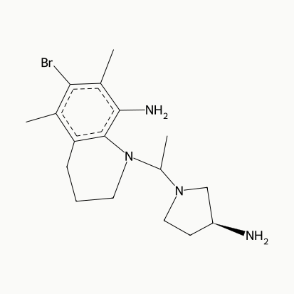 Cc1c(N)c2c(c(C)c1Br)CCCN2C(C)N1CC[C@H](N)C1